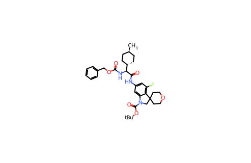 CC(C)(C)OC(=O)N1CC2(CCOCC2)c2c(F)cc(NC(=O)[C@@H](NC(=O)OCc3ccccc3)[C@H]3CC[C@H](C)CC3)cc21